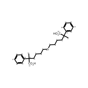 CC(CCCCSCCCCC(C)(C(=O)O)c1ccccc1)(C(=O)O)c1ccccc1